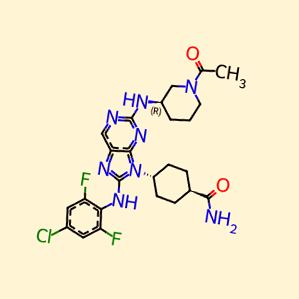 CC(=O)N1CCC[C@@H](Nc2ncc3nc(Nc4c(F)cc(Cl)cc4F)n([C@H]4CC[C@H](C(N)=O)CC4)c3n2)C1